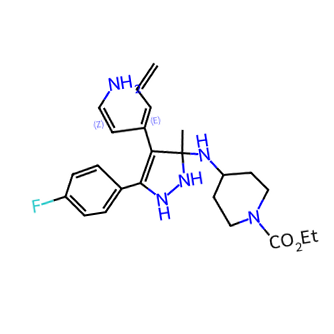 C=C/C=C(\C=C/N)C1=C(c2ccc(F)cc2)NNC1(C)NC1CCN(C(=O)OCC)CC1